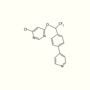 FC(F)(F)C(Oc1cc(Cl)ncn1)c1ccc(-c2ccncc2)cc1